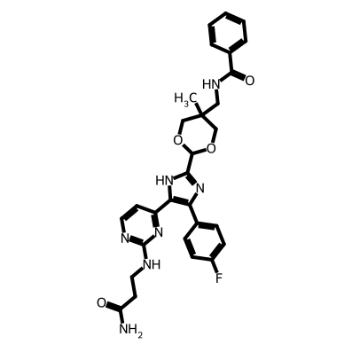 CC1(CNC(=O)c2ccccc2)COC(c2nc(-c3ccc(F)cc3)c(-c3ccnc(NCCC(N)=O)n3)[nH]2)OC1